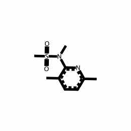 Cc1ccc(C)c(N(C)S(C)(=O)=O)n1